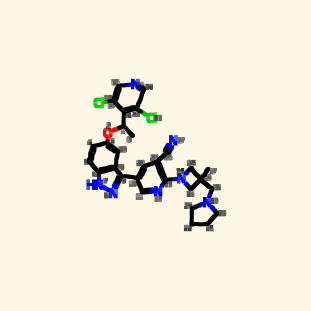 C[C@@H](Oc1ccc2[nH]nc(-c3cnc(N4CC(C)(CN5CCCC5)C4)c(C#N)c3)c2c1)c1c(Cl)cncc1Cl